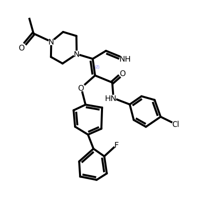 CC(=O)N1CCN(/C(C=N)=C(\Oc2ccc(-c3ccccc3F)cc2)C(=O)Nc2ccc(Cl)cc2)CC1